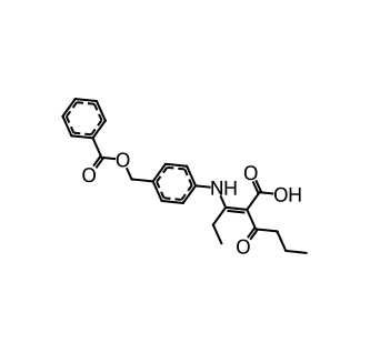 CCCC(=O)C(C(=O)O)=C(CC)Nc1ccc(COC(=O)c2ccccc2)cc1